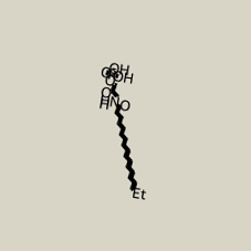 CC/C=C/C=C/C=C/C=C/CCCCCCCC(=O)NCC(O)COP(=O)(O)O